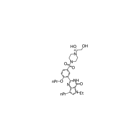 CCCOc1ccc(S(=O)(=O)N2CCN([C@H](O)CO)CC2)cc1-c1nc2c(CCC)cn(CC)c2c(=O)[nH]1